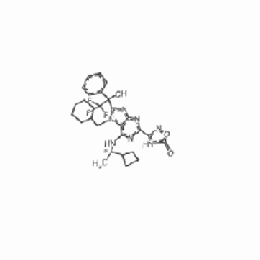 C[C@@H](Nc1nc(-c2noc(=O)[nH]2)nc2nc(C(O)(c3ccccc3)C(F)(F)F)n(CC3CCCCC3)c12)C1CCC1